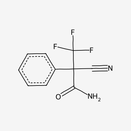 N#CC(C(N)=O)(c1ccccc1)C(F)(F)F